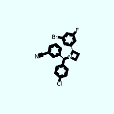 N#Cc1cccc([C@H](c2ccc(Cl)cc2)N2CC[C@H]2c2cc(F)cc(Br)c2)c1